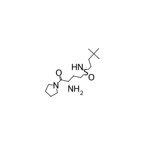 CC(C)(C)CCS(=N)(=O)CC[C@H](N)C(=O)N1CCCC1